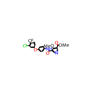 COC(=O)c1cncc(C(=O)Nc2ccc(Oc3ccc(C(F)(F)F)c(Cl)c3)cc2)c1OC